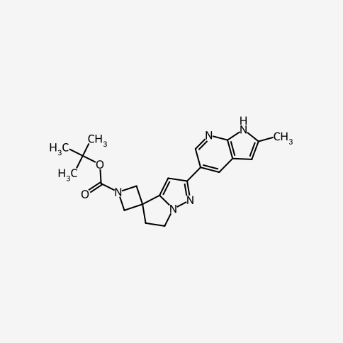 Cc1cc2cc(-c3cc4n(n3)CCC43CN(C(=O)OC(C)(C)C)C3)cnc2[nH]1